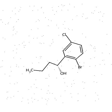 CCC[C@@H](O)c1cc(Cl)ccc1Br